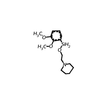 COc1cccc([SiH2]OCCN2CCCCC2)c1OC